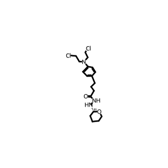 O=C(CCCc1ccc(N(CCCl)CCCl)cc1)NN[C@H]1CCCCO1